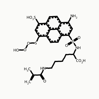 C=C(C)C(=O)NCCCCC(NS(=O)(=O)c1cc(N)c2ccc3c(S(=O)(=O)O)cc(SOOO)c4ccc1c2c43)C(=O)O